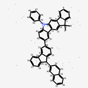 CC1(C)c2ccccc2-c2cc3c(cc21)c1cc(-c2ccc4c(c2)-c2ccccc2C4c2ccc4ccccc4c2)ccc1n3-c1ccccc1